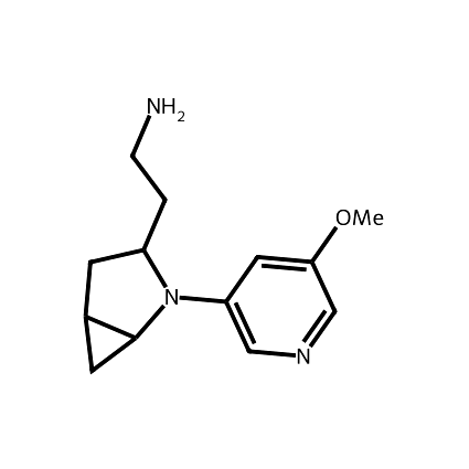 COc1cncc(N2C(CCN)CC3CC32)c1